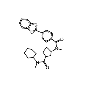 CN(C(=O)[C@H]1CC[C@@H](N(C)C(=O)c2ccc(-c3nc4ccccc4o3)cc2)C1)C1CCCCC1